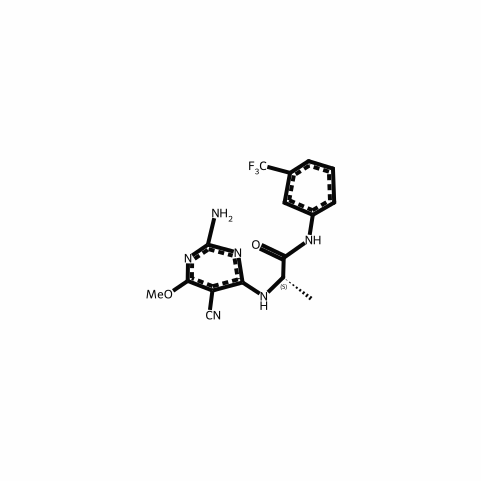 COc1nc(N)nc(N[C@@H](C)C(=O)Nc2cccc(C(F)(F)F)c2)c1C#N